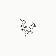 O=C(Nc1cccc(F)c1)Nc1cc(F)c(F)c(C(=O)c2ccc3ocnc3c2)c1